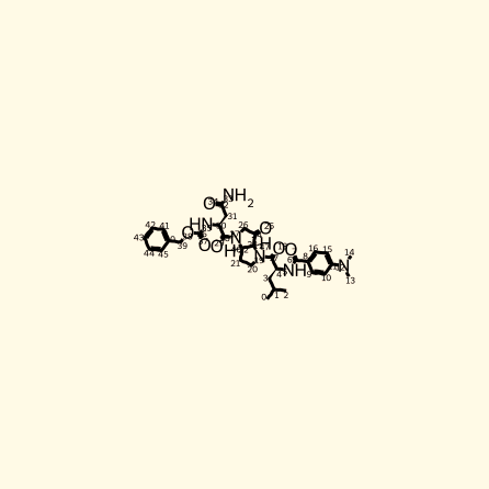 CC(C)C[C@H](NC(=O)c1ccc(N(C)C)cc1)C(=O)N1CC[C@@H]2[C@H]1C(=O)CN2C(=O)[C@H](CC(N)=O)NC(=O)OCc1ccccc1